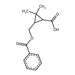 CC1(C)C(COC(=O)c2ccccc2)C1C(=O)O